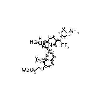 COCCOc1ccc2ccc(-c3nnc4ccc([C@@H](N5CC[C@H](N)C5)C(F)(F)F)cn34)nc2c1C1CC1.Cl.Cl